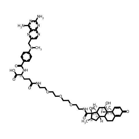 C[C@@H]1C[C@H]2C3CCC4=CC(=O)C=C[C@]4(C)[C@@]3(F)[C@@H](O)C[C@]2(C)[C@@]1(O)C(=O)NCCOCCOCCOCCNC(=O)CC[C@H](NC(=O)c1ccc(N(C)Cc2cnc3nc(N)nc(N)c3n2)cc1)C(=O)O